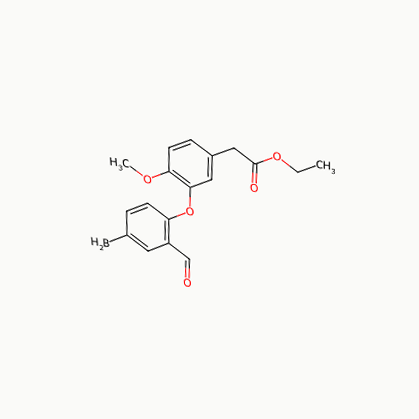 Bc1ccc(Oc2cc(CC(=O)OCC)ccc2OC)c(C=O)c1